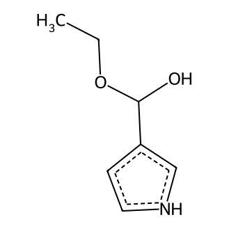 CCOC(O)c1cc[nH]c1